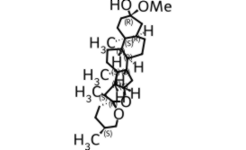 CO[C@]1(O)CC[C@@]2(C)[C@H](CC[C@@H]3[C@@H]2CC[C@]2(C)[C@@H]4[C@H](C[C@@H]32)O[C@]2(CC[C@H](C)CO2)[C@H]4C)C1